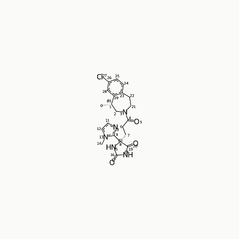 C[C@H]1CN(C(=O)CC[C@@]2(c3nccn3C)NC(=O)NC2=O)CCc2ccc(Cl)cc21